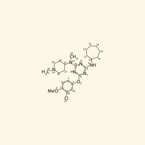 COc1ccc(Oc2nc(NC3CCCCCC3)nc(N(C)C3CCN(C)CC3)n2)cc1Cl